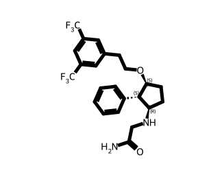 NC(=O)CN[C@@H]1CC[C@H](OCCc2cc(C(F)(F)F)cc(C(F)(F)F)c2)[C@H]1c1ccccc1